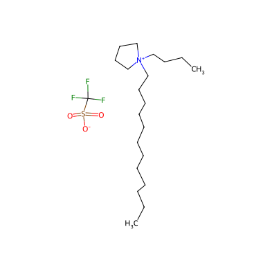 CCCCCCCCCCCC[N+]1(CCCC)CCCC1.O=S(=O)([O-])C(F)(F)F